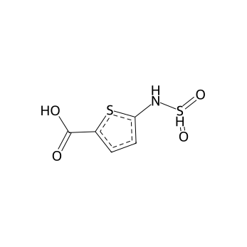 O=C(O)c1ccc(N[SH](=O)=O)s1